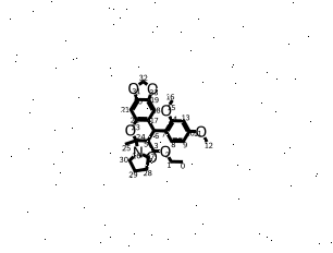 CCOC(=O)C1C(c2ccc(OC)cc2OC)c2cc3c(cc2OC1(C)N1CCCC1)OCO3